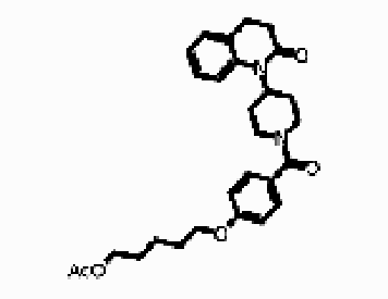 CC(=O)OCCCCCOc1ccc(C(=O)N2CCC(N3C(=O)CCc4ccccc43)CC2)cc1